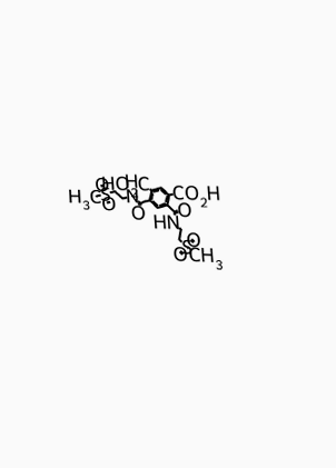 CS(=O)(=O)CCNC(=O)c1cc(C(=O)NCCS(C)(=O)=O)c(C(=O)O)cc1C(=O)O